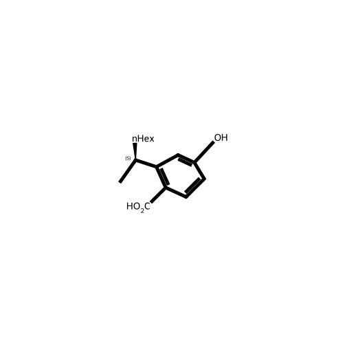 CCCCCC[C@H](C)c1cc(O)ccc1C(=O)O